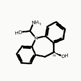 NC(O)N1c2ccccc2C[C@H](O)c2ccccc21